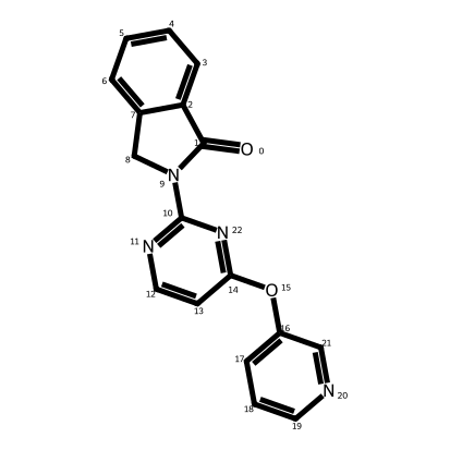 O=C1c2ccccc2CN1c1nccc(Oc2cccnc2)n1